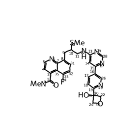 CNC(=O)c1ccnc2c(CC(CNc3cc(-c4ccc(C5(O)COC5)nc4)ncn3)SC)ccc(F)c12